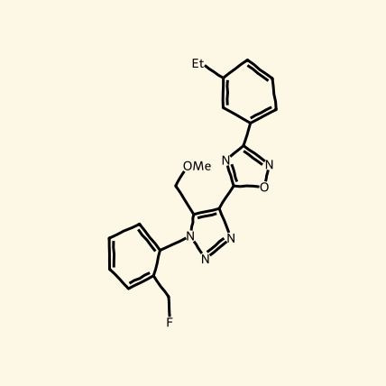 CCc1cccc(-c2noc(-c3nnn(-c4ccccc4CF)c3COC)n2)c1